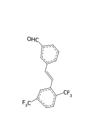 O=Cc1cccc(/C=C/c2cc(C(F)(F)F)ccc2C(F)(F)F)c1